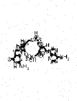 CC[C@@]12COP(O)(=S)O[C@@]3(n4cnc5c(=O)[nH]c(N)nc54)CS[C@H](COP(O)(=S)OC14O[C@H]4[C@H](n1cnc4c(N)ncnc41)O2)[C@H]3O